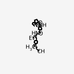 C#CCCN(C)c1ccc(CN(CC)CCNC(=O)c2ccc(NS(=O)(=O)c3cccc4cccnc34)cc2)cc1